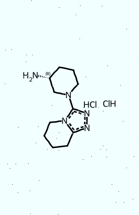 Cl.Cl.N[C@@H]1CCCN(c2nnc3n2CCCC3)C1